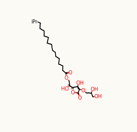 CC(C)CCCCCCCCCCCCCCC(=O)OC[C@H](O)[C@H]1OC(=O)C(OCC(O)CO)=C1O